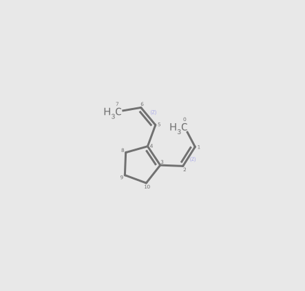 C/C=C\C1=C(/C=C\C)CCC1